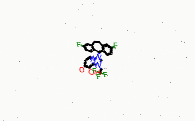 C[C@@H](N1CN(C2c3ccc(F)cc3CCc3cc(F)ccc32)n2ccc(=O)c(O)c21)C(F)(F)F